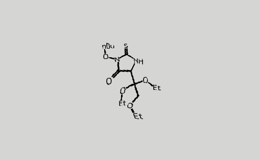 CCCCON1C(=O)C(C(COCC)(OCC)OCC)NC1=S